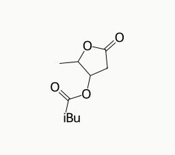 CCC(C)C(=O)OC1CC(=O)OC1C